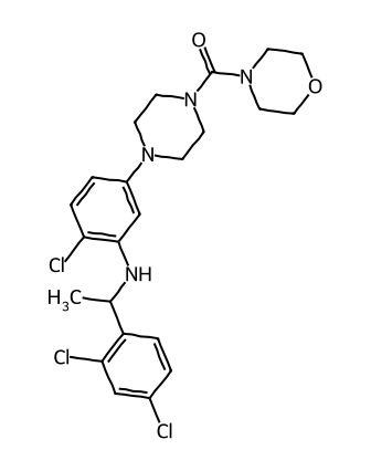 CC(Nc1cc(N2CCN(C(=O)N3CCOCC3)CC2)ccc1Cl)c1ccc(Cl)cc1Cl